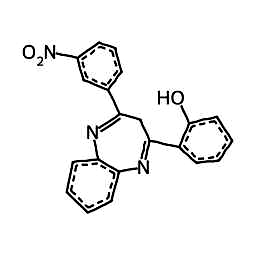 O=[N+]([O-])c1cccc(C2=Nc3ccccc3N=C(c3ccccc3O)C2)c1